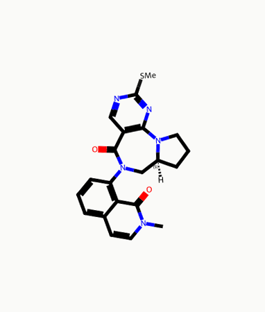 CSc1ncc2c(n1)N1CCC[C@H]1CN(c1cccc3ccn(C)c(=O)c13)C2=O